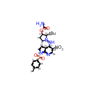 Cc1ccc(S(=O)(=O)n2ccc3c(NN4CCC(OC(N)=O)C4C(C)(C)C)c([N+](=O)[O-])cnc32)cc1